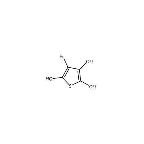 CCc1c(O)sc(O)c1O